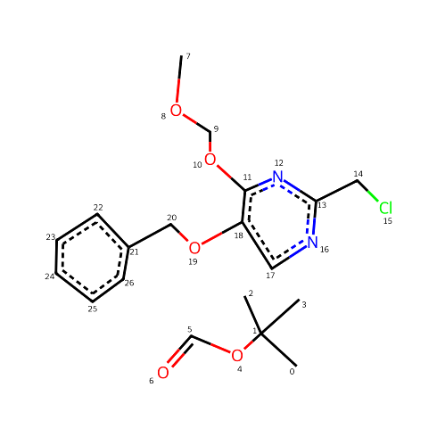 CC(C)(C)OC=O.COCOc1nc(CCl)ncc1OCc1ccccc1